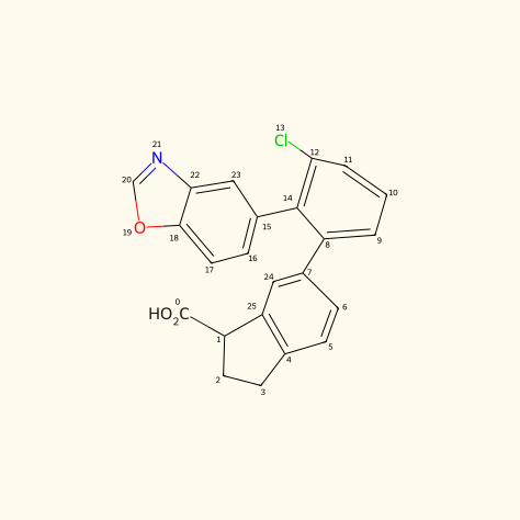 O=C(O)C1CCc2ccc(-c3cccc(Cl)c3-c3ccc4ocnc4c3)cc21